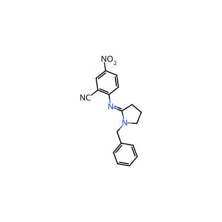 N#Cc1cc([N+](=O)[O-])ccc1/N=C1\CCCN1Cc1ccccc1